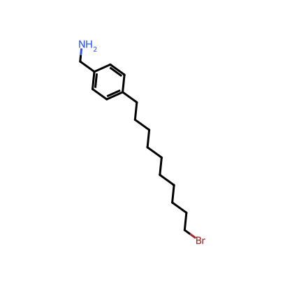 NCc1ccc(CCCCCCCCCCBr)cc1